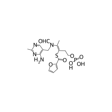 CC(=C(CCOP(=O)(O)O)SC(=O)c1ccco1)N(C=O)Cc1cnc(C)nc1N